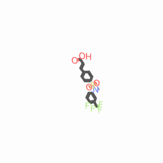 CN(c1ccc(F)c(C(F)(F)F)c1)S(=O)(=O)c1ccc(/C=C/C(=O)O)cc1